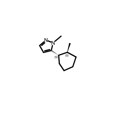 C[C@H]1CCCC[C@@H]1c1ccnn1C